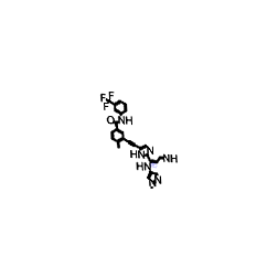 Cc1ccc(C(=O)Nc2cccc(C(F)(F)F)c2)cc1C#Cc1cnc(/C(=C\C=N)Nc2cnn(C)c2)[nH]1